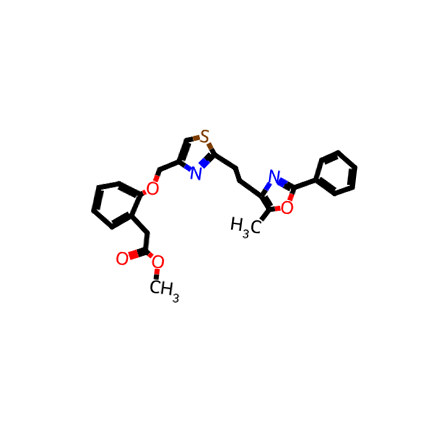 COC(=O)Cc1ccccc1OCc1csc(CCc2nc(-c3ccccc3)oc2C)n1